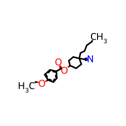 CCCCCC1(C#N)CCC(OC(=O)c2ccc(OCC)cc2)CC1